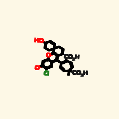 CC1(C(=O)O)C=CC(C(=O)O)=C(c2c3cc(Cl)c(=O)cc-3oc3c2C=CCC32C=CC(O)=CC2)C=C1